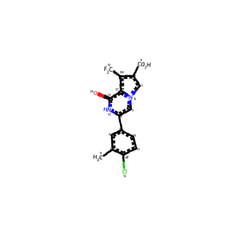 Cc1cc(-c2cn3cc(C(=O)O)c(C(F)(F)F)c3c(=O)[nH]2)ccc1Cl